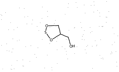 OCC1COSO1